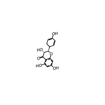 O=C1c2c(O)cc(O)cc2O[C@H](C2C=CC(O)=CC2)[C@H]1O